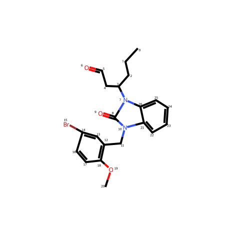 CCCC(CC=O)n1c(=O)n(Cc2cc(Br)ccc2OC)c2ccccc21